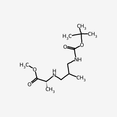 COC(=O)[C@@H](C)NCC(C)CNC(=O)OC(C)(C)C